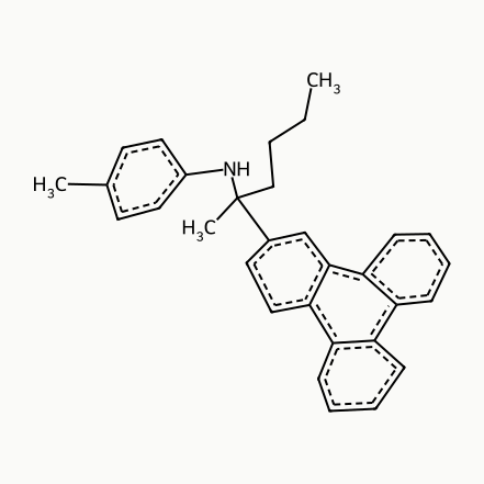 CCCCC(C)(Nc1ccc(C)cc1)c1ccc2c3ccccc3c3ccccc3c2c1